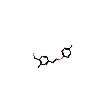 Cc1ccc(OCCc2ccc(CCl)c(C)c2)cc1